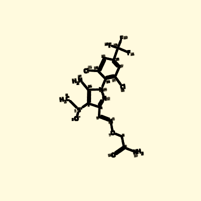 C[S+]([O-])c1c(C=NOCC(N)=O)nn(-c2c(Cl)cc(C(F)(F)F)cc2Cl)c1N